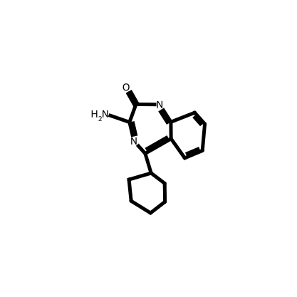 Nc1nc(C2CCCCC2)c2ccccc2nc1=O